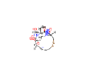 CCCC[C@H]1NC(=O)C[C@H]2/C=C/CCSSC[C@@H](NC1=O)C(=O)NC([C@H](C)CC)[C@@H](O)CC(=O)O2